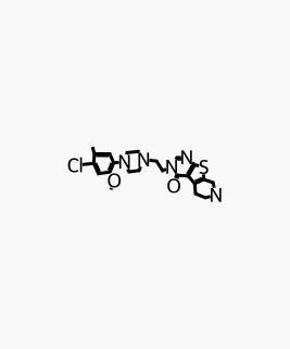 COc1cc(Cl)c(C)cc1N1CCN(CCn2cnc3sc4c(c3c2=O)CCN(C)C4)CC1